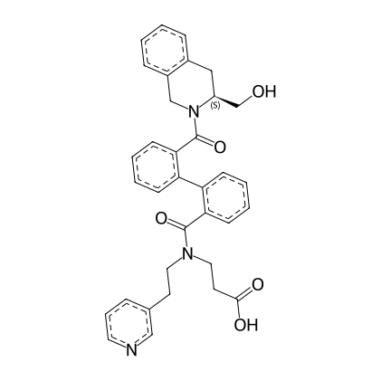 O=C(O)CCN(CCc1cccnc1)C(=O)c1ccccc1-c1ccccc1C(=O)N1Cc2ccccc2C[C@H]1CO